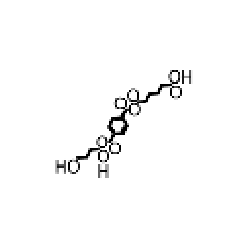 O=C(O)CCCCC(=O)OC(=O)c1ccc(C(=O)OC(O)CCCO)cc1